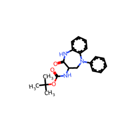 CC(C)(C)OC(=O)NC1CN(c2ccccc2)c2ccccc2NC1=O